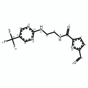 O=Cc1ccc(C(=O)NCCNc2ncc(C(F)(F)F)cn2)o1